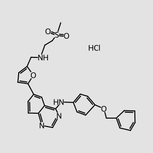 CS(=O)(=O)CCNCc1ccc(-c2ccc3ncnc(Nc4ccc(OCc5ccccc5)cc4)c3c2)o1.Cl